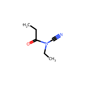 [CH2]CC(=O)N(C#N)CC